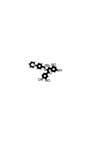 O=Nc1ccc(-c2oc3cc(O)cc(N=O)c3c(=O)c2OC(=O)c2ccc(N3CCCCC3)cc2)cc1N=O